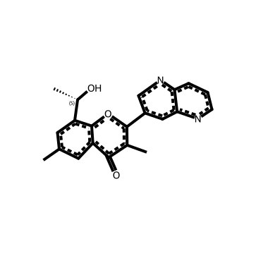 Cc1cc([C@H](C)O)c2oc(-c3cnc4cccnc4c3)c(C)c(=O)c2c1